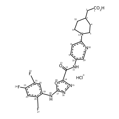 Cl.O=C(O)CC1CCN(c2ccc(NC(=O)c3nnc(Nc4cc(F)c(F)cc4F)o3)cn2)CC1